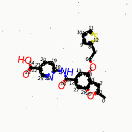 Cc1cc2c(OCCc3cccs3)cc(C(=O)Nc3ccc(C(=O)O)cn3)cc2o1